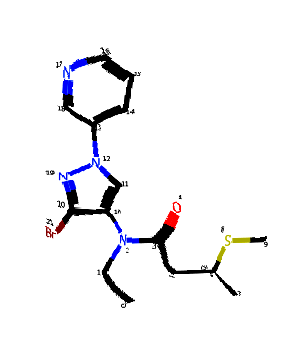 CCN(C(=O)C[C@H](C)SC)c1cn(-c2cccnc2)nc1Br